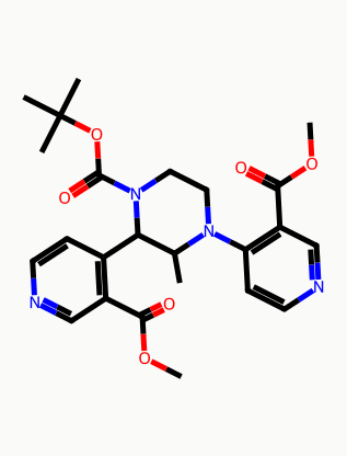 COC(=O)c1cnccc1C1C(C)N(c2ccncc2C(=O)OC)CCN1C(=O)OC(C)(C)C